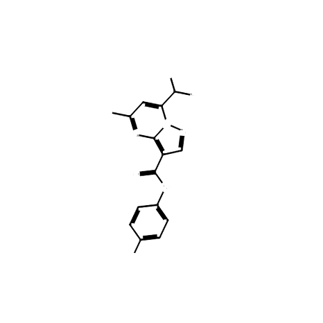 Cc1cc(C(F)F)n2ncc(C(=O)Nc3ccc(C(F)(F)F)cc3)c2n1